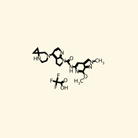 COc1nc(NC(=O)N2CCc3c(N4CCNC5(CC5)C4)ccnc32)cc2cn(C)nc12.O=C(O)C(F)(F)F